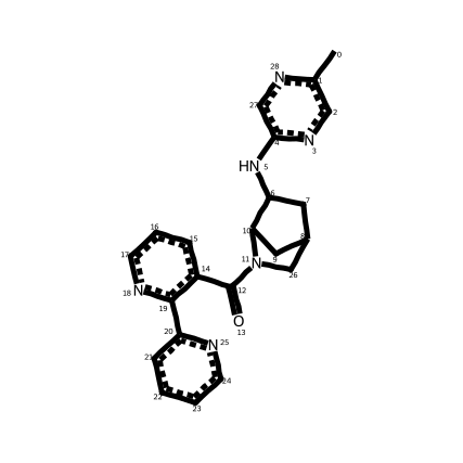 Cc1cnc(NC2CC3CC2N(C(=O)c2cccnc2-c2ccccn2)C3)cn1